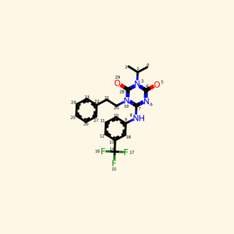 CC(C)n1c(=O)nc(Nc2cccc(C(F)(F)F)c2)n(CCc2ccccc2)c1=O